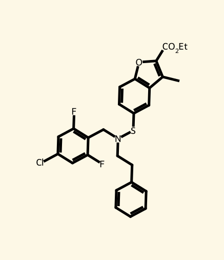 CCOC(=O)c1oc2ccc(SN(CCc3ccccc3)Cc3c(F)cc(Cl)cc3F)cc2c1C